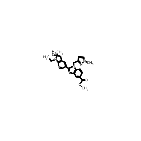 CCN1c2ncc(-c3nc4cc(C(=O)OC)ccc4n3Cc3ccn(C)n3)cc2CC1(C)C